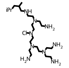 CC(C)CC(C)CNCCN(CCN)CCN(Cl)CCN(CCN)CCN(CCN)CCN